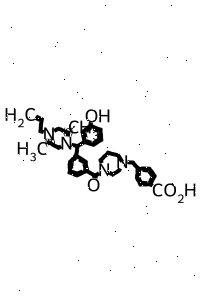 C=CCN1C[C@H](C)N(C(c2cccc(O)c2)c2cccc(C(=O)N3CCCN(Cc4ccc(C(=O)O)cc4)CC3)c2)C[C@H]1C